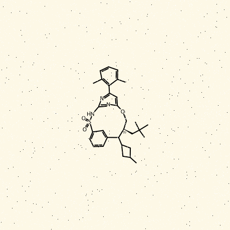 Cc1cccc(C)c1-c1cc2nc(n1)NS(=O)(=O)c1cccc(c1)C(C1CC(C)C1)[C@H](CC(C)(C)C)CO2